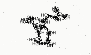 CC(=O)NC1[C@H](OCCOP(=O)(O)OCOCC(COCCOP(=O)(O)OCCO[C@@H]2OC(CO)[C@H](O)[C@H](O)C2C)(COCOP(=O)(O)OCCO[C@@H]2OC(CO)[C@H](O)[C@H](O)C2C)CO[PH](O)(O)OCOCC(CO)COCOP(=O)(O)O[C@H]2C[C@H](n3cnc4c(C)ncnc43)O[C@@H]2COP(=O)(O)C(C)C)OC(CO)[C@H](O)[C@@H]1O